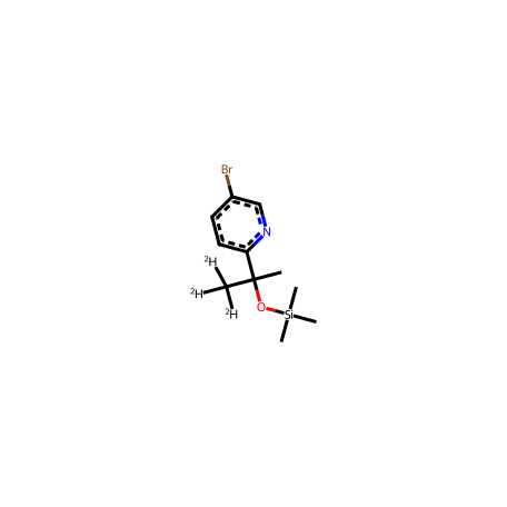 [2H]C([2H])([2H])C(C)(O[Si](C)(C)C)c1ccc(Br)cn1